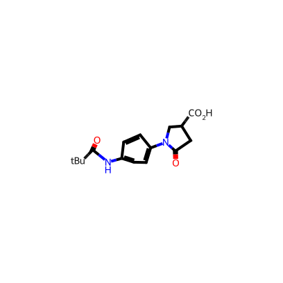 CC(C)(C)C(=O)Nc1ccc(N2CC(C(=O)O)CC2=O)cc1